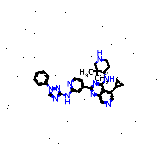 CC1(C)CNCC[C@@H]1Nc1nc(-c2ccnc(Nc3ncn(-c4ccccc4)n3)c2)nc2cncc(C3CC3)c12